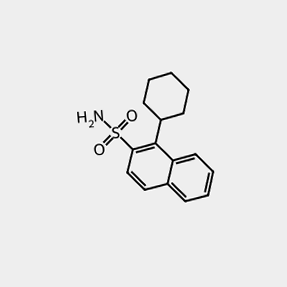 NS(=O)(=O)c1ccc2ccccc2c1C1CCCCC1